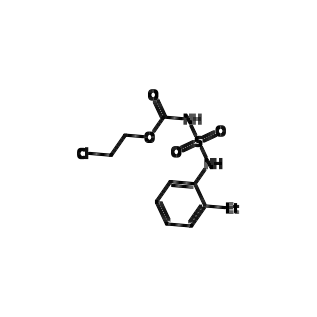 CCc1ccccc1NS(=O)(=O)NC(=O)OCCCl